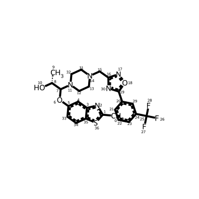 Cc1nc2cc(OC([C@@H](C)O)N3CCN(Cc4noc(-c5cccc(C(F)(F)F)c5)n4)CC3)ccc2s1